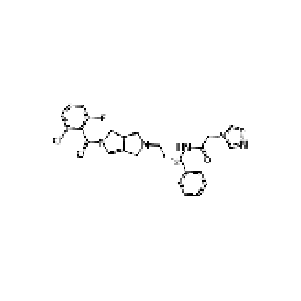 O=C(Cn1ccnc1)N[C@@H](CCN1CC2=CN(C(=O)c3c(F)cccc3Cl)CC2C1)c1ccccc1